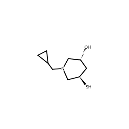 O[C@@H]1C[C@@H](S)CN(CC2CC2)C1